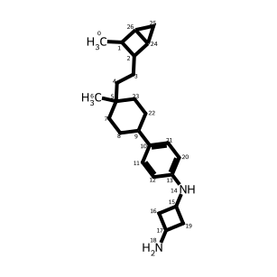 CC1C(CCC2(C)CCC(c3ccc(NC4CC(N)C4)cc3)CC2)C2CC12